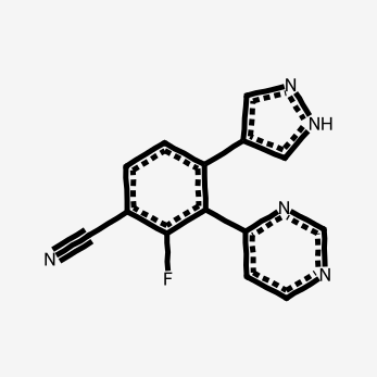 N#Cc1ccc(-c2cn[nH]c2)c(-c2ccncn2)c1F